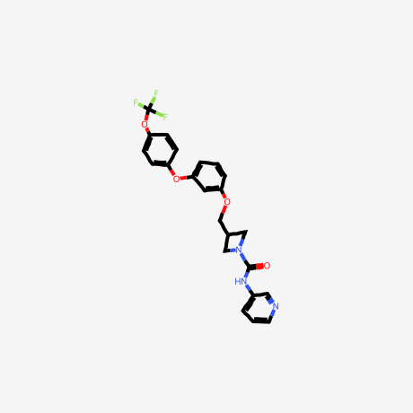 O=C(Nc1cccnc1)N1CC(COc2cccc(Oc3ccc(OC(F)(F)F)cc3)c2)C1